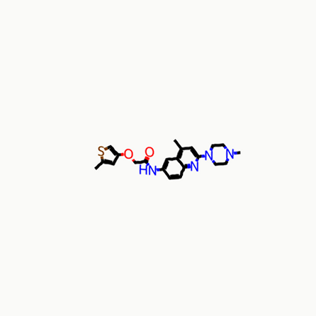 Cc1cc(OCC(=O)Nc2ccc3nc(N4CCN(C)CC4)cc(C)c3c2)cs1